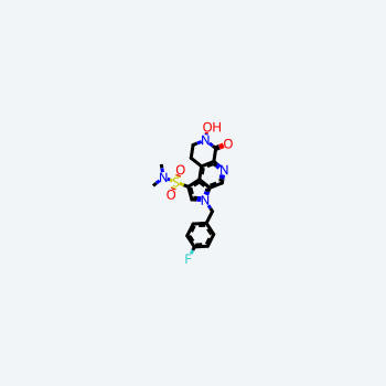 CN(C)S(=O)(=O)c1cn(Cc2ccc(F)cc2)c2cnc3c(c12)CCN(O)C3=O